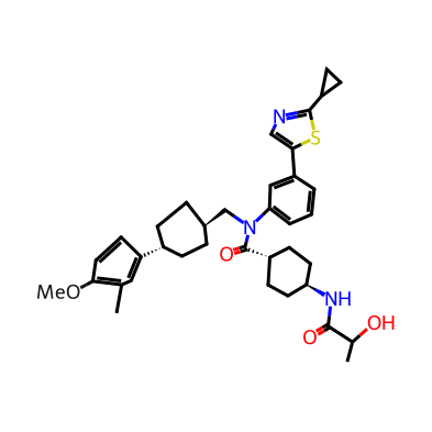 COc1ccc([C@H]2CC[C@H](CN(c3cccc(-c4cnc(C5CC5)s4)c3)C(=O)[C@H]3CC[C@H](NC(=O)C(C)O)CC3)CC2)cc1C